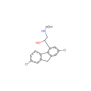 CCCCCCCCNCC(O)c1cc(Cl)cc2c1-c1ccc(Cl)cc1C2